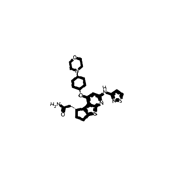 NC(=O)C[C@H]1CCc2sc3nc(Nc4ccsn4)cc(O[C@H]4CC[C@H](N5CCOCC5)CC4)c3c21